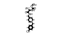 CC(C)C(NC(=O)OC(C)(C)C)C(=O)NCC1CCN(Cc2ccc(Cl)cc2)CC1